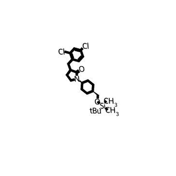 CC(C)(C)[Si](C)(C)OC[C@H]1CC[C@@H](N2CCC(Cc3ccc(Cl)cc3Cl)C2=O)CC1